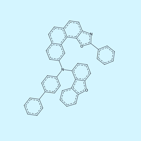 c1ccc(-c2ccc(N(c3ccc4ccc5ccc6nc(-c7ccccc7)oc6c5c4c3)c3cccc4oc5ccccc5c34)cc2)cc1